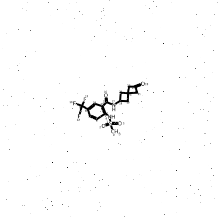 CS(=O)(=O)Nc1ccc(C(F)(F)F)cc1C(=O)NC1CC2(CC(=O)C2)C1